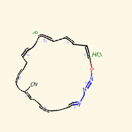 Cl.Cl.N#CC1=C\C=C\C=N/N=N/O/C=C\C=C\C=C\C=C\C=C\1